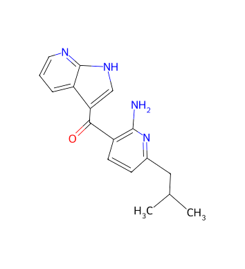 CC(C)Cc1ccc(C(=O)c2c[nH]c3ncccc23)c(N)n1